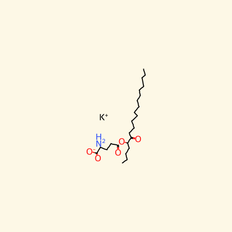 CCCCCCCCCCCCCC(=O)C(CCCC)OC(=O)CC[C@H](N)C(=O)[O-].[K+]